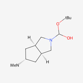 CN[C@H]1C[C@@H]2CN(C(O)OC(C)(C)C)C[C@@H]2C1